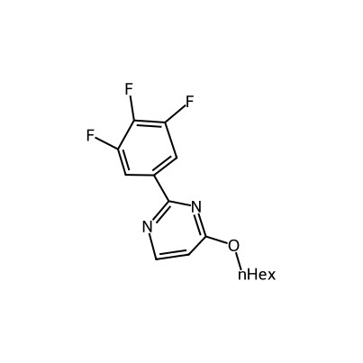 CCCCCCOc1ccnc(-c2cc(F)c(F)c(F)c2)n1